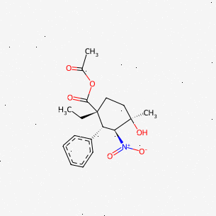 CC[C@@]1(C(=O)OC(C)=O)CC[C@@](C)(O)[C@@H]([N+](=O)[O-])[C@@H]1c1ccccc1